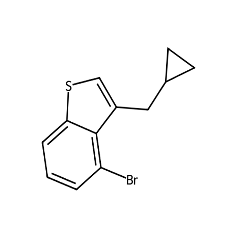 Brc1cccc2scc(CC3CC3)c12